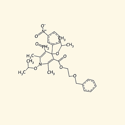 CC1=C([PH2]=O)C(OC(C)C)(c2cccc([N+](=O)[O-])c2)C(C(=O)OCCOCc2ccccc2)=C(C)N1OC(C)C